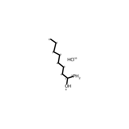 CCCCCCCC(O)P.Cl